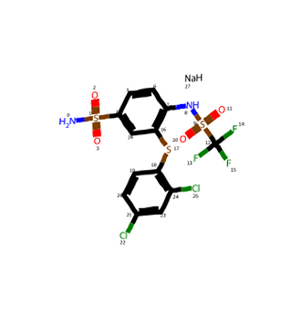 NS(=O)(=O)c1ccc(NS(=O)(=O)C(F)(F)F)c(Sc2ccc(Cl)cc2Cl)c1.[NaH]